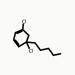 CCCCCC1(Cl)C=CC=C(Cl)C1